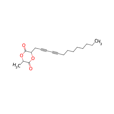 CCCCCCCCC#CC#CCC1OC(=O)C(C)OC1=O